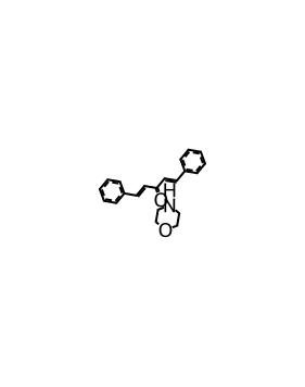 C1COCCN1.O=C(C=Cc1ccccc1)C=Cc1ccccc1